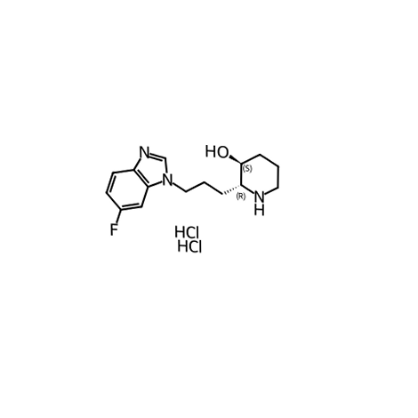 Cl.Cl.O[C@H]1CCCN[C@@H]1CCCn1cnc2ccc(F)cc21